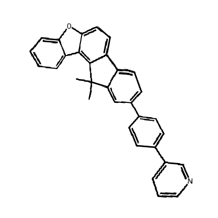 CC1(C)c2cc(-c3ccc(-c4cccnc4)cc3)ccc2-c2ccc3oc4ccccc4c3c21